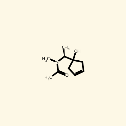 CC(=O)N(C)[C@@H](C)C1(O)CC=CC1